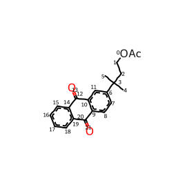 CC(=O)OCCC(C)(C)c1ccc2c(c1)C(=O)c1ccccc1C2=O